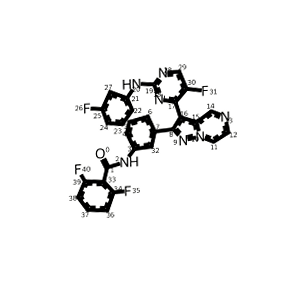 O=C(Nc1cccc(-c2nn3ccncc3c2-c2nc(Nc3cccc(F)c3)ncc2F)c1)c1c(F)cccc1F